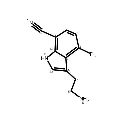 N#Cc1ccc(F)c2c(CCN)c[nH]c12